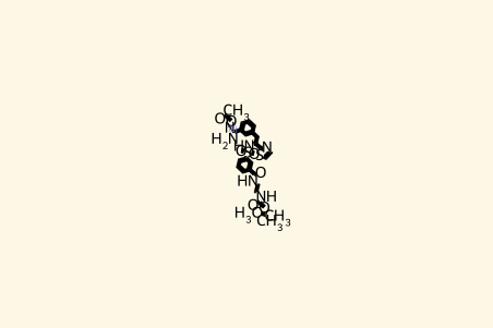 CC(=O)O/N=C(/N)c1cccc(CC(NS(=O)(=O)c2cccc(C(=O)NCCNC(=O)OC(C)(C)C)c2)c2nccs2)c1